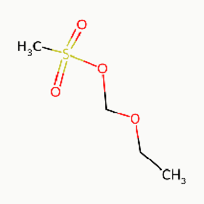 CCOCOS(C)(=O)=O